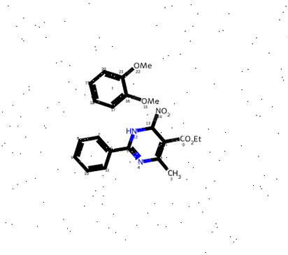 CCOC(=O)C1=C(C)N=C(c2ccccc2)NC1[N+](=O)[O-].COc1ccccc1OC